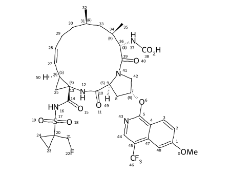 COc1ccc2c(O[C@@H]3C[C@H]4C(=O)N[C@]5(C(=O)NS(=O)(=O)C6(CF)CC6)C[C@H]5C=CCC[C@@H](C)C[C@@H](C)[C@H](NC(=O)O)C(=O)N4C3)ncc(C(F)(F)F)c2c1